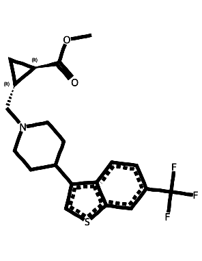 COC(=O)[C@@H]1C[C@H]1CN1CCC(c2csc3cc(C(F)(F)F)ccc23)CC1